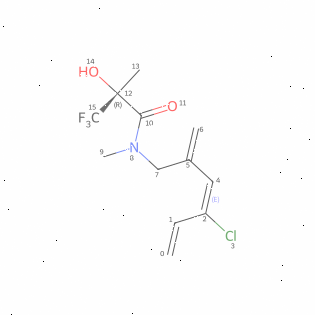 C=C/C(Cl)=C\C(=C)CN(C)C(=O)[C@@](C)(O)C(F)(F)F